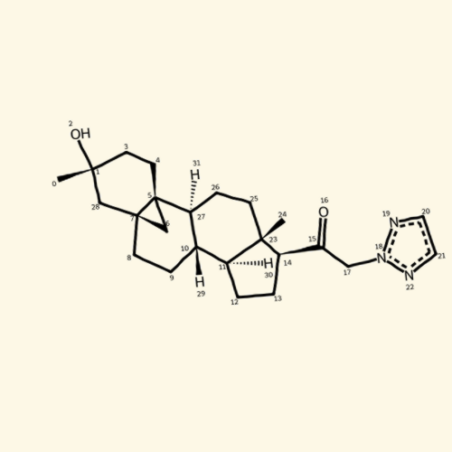 C[C@@]1(O)CC[C@@]23C[C@@]2(CC[C@H]2[C@@H]4CC[C@H](C(=O)Cn5nccn5)[C@@]4(C)CC[C@@H]23)C1